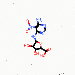 Nc1ncnc(NC2OC(C(=O)O)C(O)C2O)c1[N+](=O)[O-]